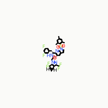 Cc1cc(C)c(S(=O)(=O)n2ccc3cc(Br)c([C@@H](Cc4cc(F)cc(F)c4)NC(=O)Cn4nc(C(F)F)c5c4C(F)(F)[C@@H]4C[C@H]54)nc32)c(C)c1